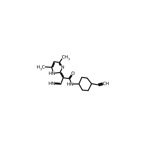 C#CC1CCC(NC(=O)/C(C=N)=C2\N=C(C)C=C(C)N2)CC1